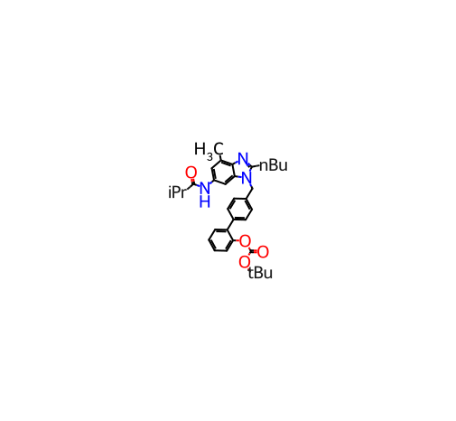 CCCCc1nc2c(C)cc(NC(=O)C(C)C)cc2n1Cc1ccc(-c2ccccc2OC(=O)OC(C)(C)C)cc1